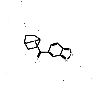 O=C(c1ccc2nonc2c1)N1CC2CCC1CC2